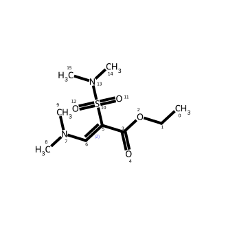 CCOC(=O)/C(=C/N(C)C)S(=O)(=O)N(C)C